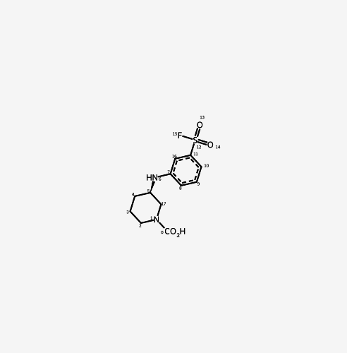 O=C(O)N1CCC[C@@H](Nc2cccc(S(=O)(=O)F)c2)C1